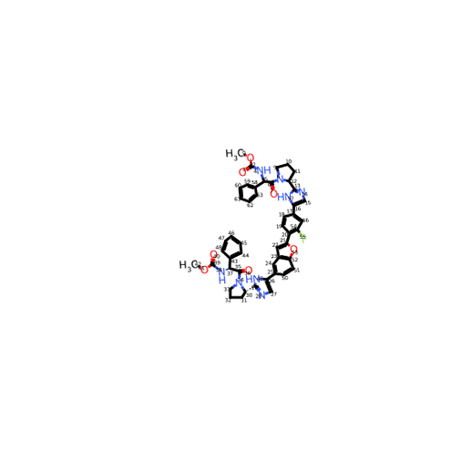 COC(=O)NC(C(=O)N1CCCC1c1ncc(-c2ccc(-c3cc4cc(-c5cnc([C@@H]6CCCN6C(=O)[C@H](NC(=O)OC)c6ccccc6)[nH]5)ccc4o3)c(F)c2)[nH]1)c1ccccc1